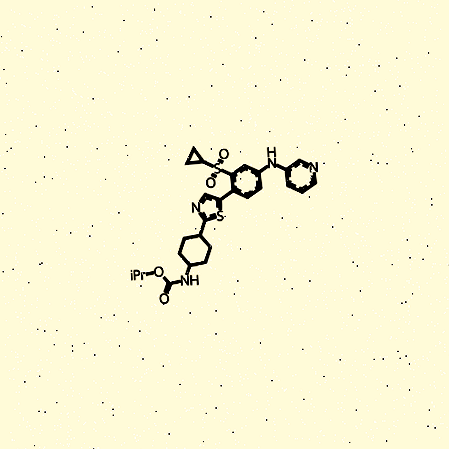 CC(C)OC(=O)NC1CCC(c2ncc(-c3ccc(Nc4cccnc4)cc3S(=O)(=O)C3CC3)s2)CC1